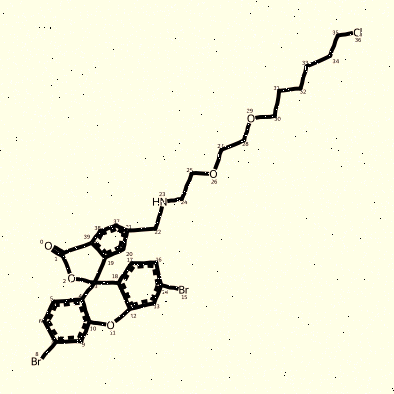 O=C1OC2(c3ccc(Br)cc3Oc3cc(Br)ccc32)c2cc(CNCCOCCOCCCCCCCl)ccc21